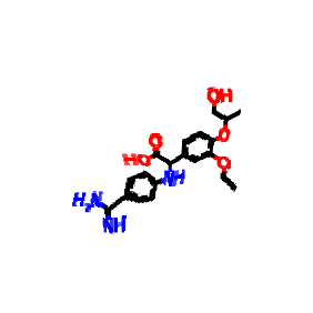 CCOc1cc(C(Nc2ccc(C(=N)N)cc2)C(=O)O)ccc1OC(C)CO